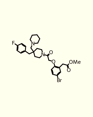 COC(=O)Cc1cc(Br)ccc1OCC(=O)N1CCC(Cc2ccc(F)cc2)(CN2CCCCC2)CC1